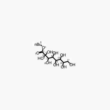 CCCCOC(=O)C(O)(O)C(O)C(O)C(O)C(O)C(O)CO